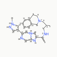 C=C(NCC(C)CN1CCc2ccccc2C1)c1cn2cc(-c3cnn(C)c3)ncc2n1